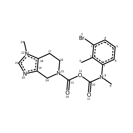 Cc1c(Br)cccc1N(C)C(=O)OC(=O)N1CCc2c(ncn2C)C1